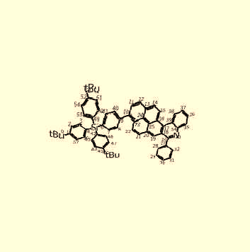 CC(C)(C)c1ccc([Si](c2ccc(-c3ccc4ccc5c6c(cc7ccc3c4c75)c(-c3ccccc3)nc3ccccc36)cc2)(c2ccc(C(C)(C)C)cc2)c2ccc(C(C)(C)C)cc2)cc1